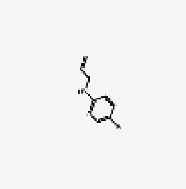 C=CCNc1ccc(Br)cn1